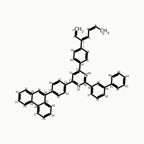 C=C/C(=C\C=C/C)c1ccc(-c2cc(-c3ccc(-c4cc5ccccc5c5ccccc45)cc3)nc(-c3cccc(-c4ccccc4)c3)n2)cc1